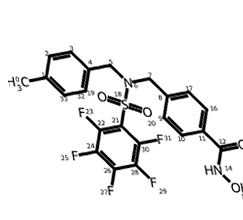 Cc1ccc(CN(Cc2ccc(C(=O)NO)cc2)S(=O)(=O)c2c(F)c(F)c(F)c(F)c2F)cc1